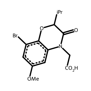 COc1cc(Br)c2c(c1)N(CC(=O)O)C(=O)C(C(C)C)O2